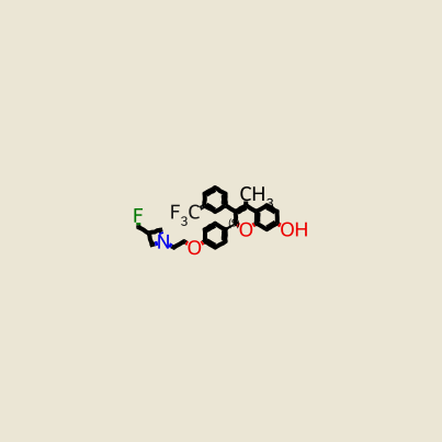 CC1=C(c2cccc(C(F)(F)F)c2)[C@H](c2ccc(OCCN3CC(CF)C3)cc2)Oc2cc(O)ccc21